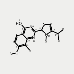 COc1ccc2c(O)nc(C3SC=C(C(C)C)N3C)nc2c1C